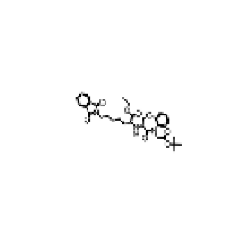 CCOC(=O)[C@H](CCCCCN1C(=O)c2ccccc2C1=O)NC1COc2ccccc2N(CC(=O)OC(C)(C)C)C1=O